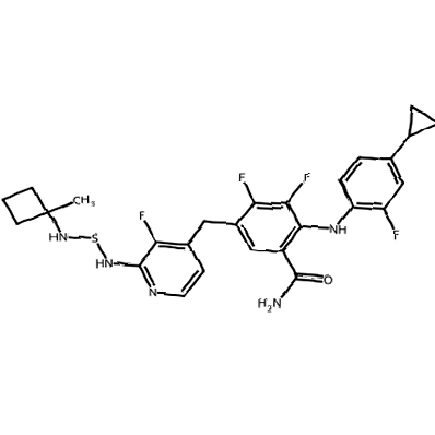 CC1(NSNc2nccc(Cc3cc(C(N)=O)c(Nc4ccc(C5CC5)cc4F)c(F)c3F)c2F)CCC1